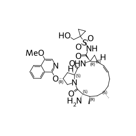 COc1cnc(O[C@@H]2C[C@H]3C(=O)N[C@]4(C(=O)NS(=O)(=O)C5(CO)CC5)C[C@H]4C=CCC[C@H](C)C[C@@H](C)[C@H](N)C(=O)N3C2)c2ccccc12